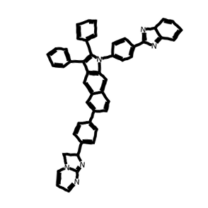 C1=CC2=NC(c3ccc(-n4c(-c5ccccc5)c(-c5ccccc5)c5cc6cc(-c7ccc(C8CN9C=CC=NC9=N8)cc7)ccc6cc54)cc3)=NC2C=C1